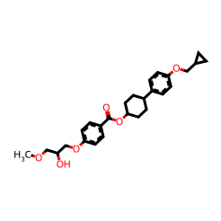 COCC(O)COc1ccc(C(=O)OC2CCC(c3ccc(OCC4CC4)cc3)CC2)cc1